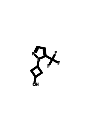 OC1CC(n2nccc2C(F)(F)F)C1